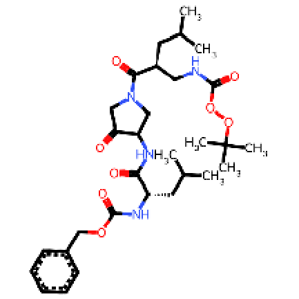 CC(C)C[C@@H](CNC(=O)OOC(C)(C)C)C(=O)N1CC(=O)C(NC(=O)[C@H](CC(C)C)NC(=O)OCc2ccccc2)C1